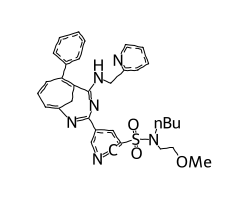 CCCCN(CCOC)S(=O)(=O)c1cncc(C2=NC3=CC=CC(c4ccccc4)=C(C3)C(NCc3ccccn3)=N2)c1